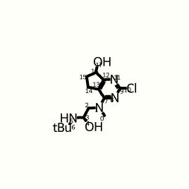 CN(CC(O)NC(C)(C)C)c1nc(Cl)nc2c1CCC2O